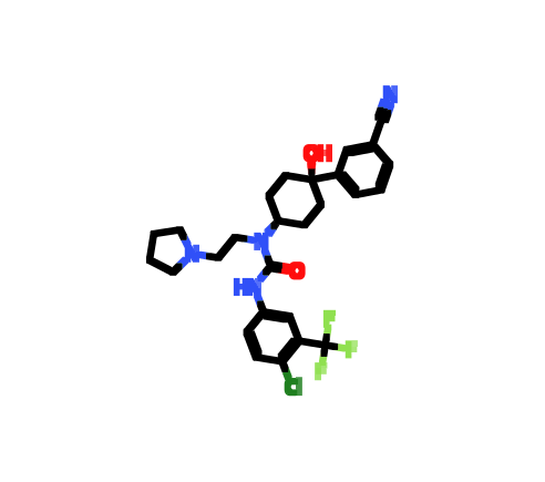 N#Cc1cccc([C@]2(O)CC[C@@H](N(CCN3CCCC3)C(=O)Nc3ccc(Cl)c(C(F)(F)F)c3)CC2)c1